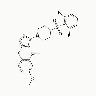 COc1ccc(Cc2csc(N3CCC(S(=O)(=O)c4c(F)cccc4F)CC3)n2)c(OC)c1